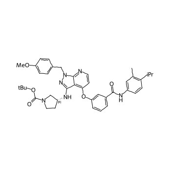 COc1ccc(Cn2nc(N[C@@H]3CCN(C(=O)OC(C)(C)C)C3)c3c(Oc4cccc(C(=O)Nc5ccc(C(C)C)c(C)c5)c4)ccnc32)cc1